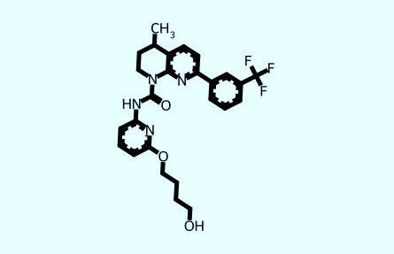 CC1CCN(C(=O)Nc2cccc(OCCCCO)n2)c2nc(-c3cccc(C(F)(F)F)c3)ccc21